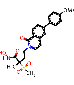 COc1ccc(-c2ccc3c(=O)n(CCC(C)(C(=O)NO)S(C)(=O)=O)ccc3c2)cc1